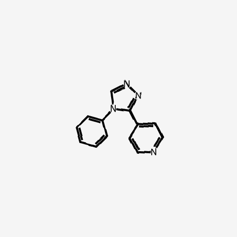 c1ccc(-n2cnnc2-c2ccncc2)cc1